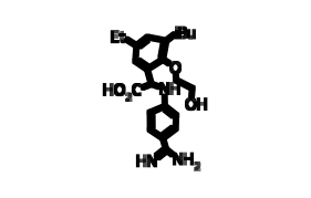 CCc1cc(C(C)CC)c(OCCO)c(C(Nc2ccc(C(=N)N)cc2)C(=O)O)c1